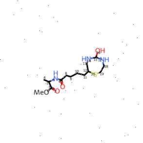 COC(=O)C(C)NC(=O)CCCCC1CNC(O)NCCS1